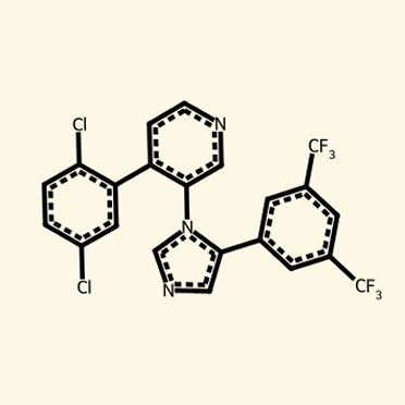 FC(F)(F)c1cc(-c2cncn2-c2cnccc2-c2cc(Cl)ccc2Cl)cc(C(F)(F)F)c1